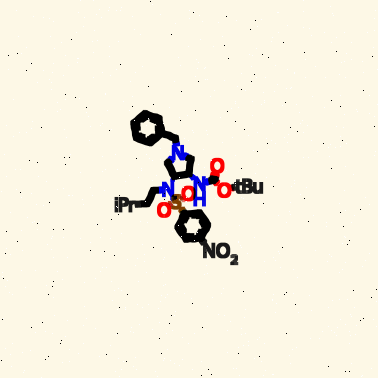 CC(C)CCN([C@@H]1CN(Cc2ccccc2)C[C@H]1NC(=O)OC(C)(C)C)S(=O)(=O)c1ccc([N+](=O)[O-])cc1